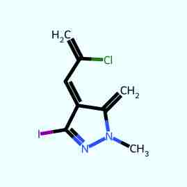 C=C(Cl)/C=c1/c(I)nn(C)c1=C